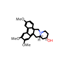 COc1ccc2c3c(c4cc(OC)c(OC)cc4c2c1)C[C@H]1C[C@@H](O)CCN1C3